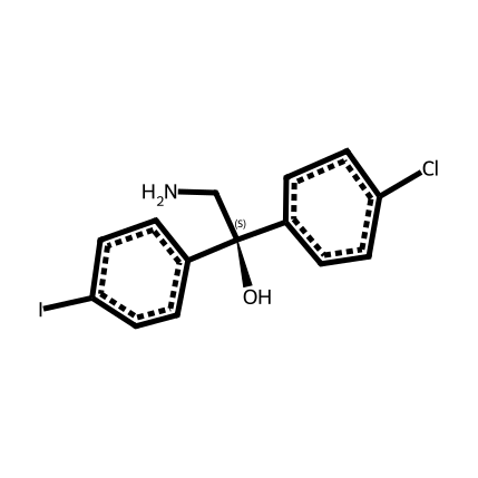 NC[C@](O)(c1ccc(Cl)cc1)c1ccc(I)cc1